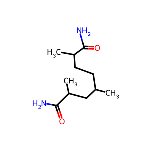 CC(CCC(C)C(N)=O)CC(C)C(N)=O